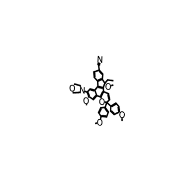 CCC1(OC)c2cc(C#N)ccc2-c2c1c1c(c3cc(OC)c(N4CCOCC4)cc23)OC(c2ccc(OC)cc2)(c2ccc(OC)cc2)C=C1